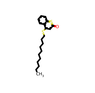 CCCCCCCCCCCSc1cc(=O)sc2ccccc12